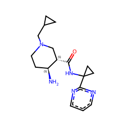 N[C@H]1CCN(CC2CC2)C[C@@H]1C(=O)NC1(c2ncccn2)CC1